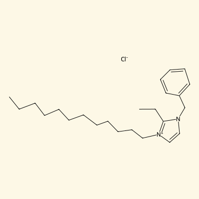 CCCCCCCCCCCC[n+]1ccn(Cc2ccccc2)c1CC.[Cl-]